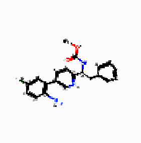 CC(C)(C)OC(=O)N[C@@H](Cc1ccccc1)c1ccc(-c2cc(Cl)ccc2N)cn1